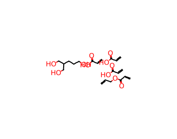 C=CC(=O)O.C=CC(=O)O.C=CC(=O)O.C=CCOC(=O)C=C.OCCCC(CO)CO